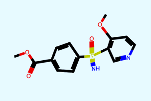 COC(=O)c1ccc(S(=N)(=O)c2cnccc2OC)cc1